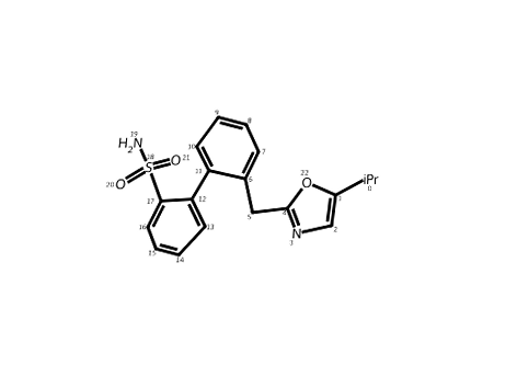 CC(C)c1cnc(Cc2ccccc2-c2ccccc2S(N)(=O)=O)o1